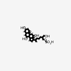 CC(CCCC(CO)COS(=O)(=O)O)C1CCC2C3C(C[C@H](O)C12C)C1(C)CC[C@@H](O)CC1C[C@H]3O